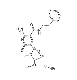 CC(C)OC[C@H]1O[C@@H](n2cc(C(=O)NCCc3ccccc3)c(N)nc2=O)[C@@H](C)C1OC(C)C